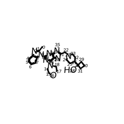 Cc1nc2ccccc2n1-c1nc(N2CCOCC2)c2nc(CN3CCC(C4(O)CCC4)CC3)n(C)c2n1